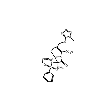 C/C=C\N([C@]1(OC)C(=O)N2C(C(=O)O)=C(CSc3nnnn3C)CS[C@@H]21)S(=O)(=O)c1ccccc1